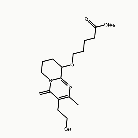 C=C1C(CCO)=C(C)N=C2C(OCCCCC(=O)OC)CCCN12